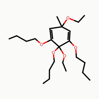 CCCCOC1=CC(C)(OCC)C=C(OCCCC)C1(OCC)OCCCC